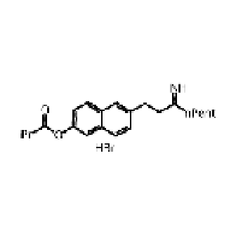 Br.CCCCCC(=N)CCc1ccc2cc(OC(=O)C(C)C)ccc2c1